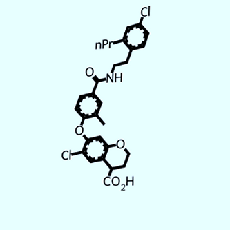 CCCc1cc(Cl)ccc1CCNC(=O)c1ccc(Oc2cc3c(cc2Cl)C(C(=O)O)CCO3)c(C)c1